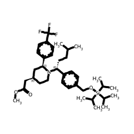 COC(=O)C[C@@H]1CCN([C@H](CCC(C)C)c2ccc(CO[Si](C(C)C)(C(C)C)C(C)C)cc2)[C@H](c2ccc(C(F)(F)F)cc2)C1